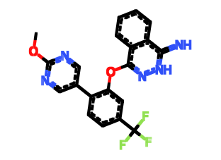 COc1ncc(-c2ccc(C(F)(F)F)cc2Oc2n[nH]c(=N)c3ccccc23)cn1